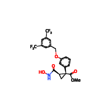 COC(=O)[C@]1(c2cccc(OCc3cc(C(F)(F)F)cc(C(F)(F)F)c3)c2)C[C@H]1C(=O)NO